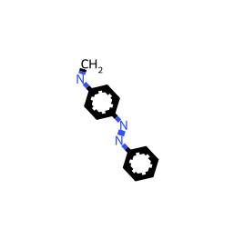 C=Nc1ccc(N=Nc2ccccc2)cc1